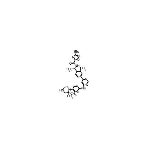 Cc1cc(-c2cc(Nc3ccc(N4CCNCC4(C)C)cn3)ncn2)ccc1C(C)NC(=O)c1nc(C(C)(C)C)no1